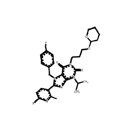 CC(C)n1c(=O)n(CCCOC2CCCCO2)c(=O)c2c1nc(-c1ccc(F)nc1F)n2Cc1ccc(F)cc1